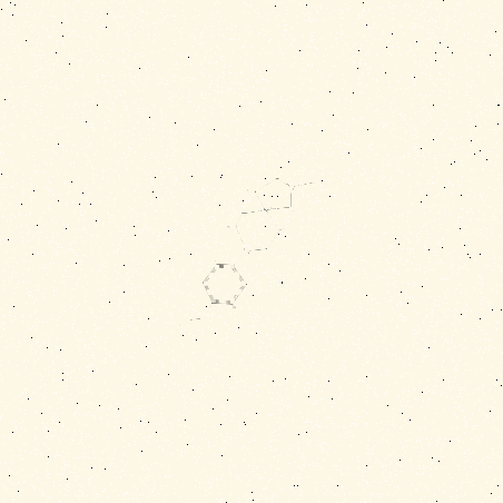 COc1ccc(N2CCC3(CCN(C)C3)CC2)cc1